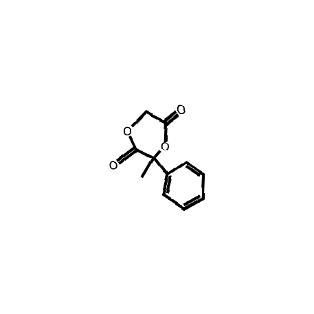 CC1(c2ccccc2)OC(=O)COC1=O